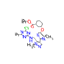 Cc1nc(-c2cnn(C)c2CNc2nc(Cl)nc(C(C)C)n2)ncc1O[C@H]1CCCC(C(=O)OC(C)C)C1